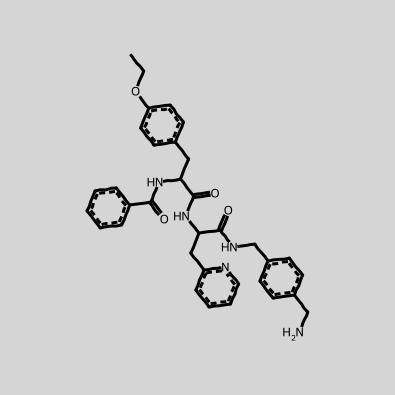 CCOc1ccc(CC(NC(=O)c2ccccc2)C(=O)NC(Cc2ccccn2)C(=O)NCc2ccc(CN)cc2)cc1